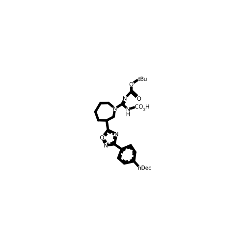 CCCCCCCCCCc1ccc(-c2noc(C3CCCCN(/C(=N/C(=O)OC(C)(C)C)NC(=O)O)C3)n2)cc1